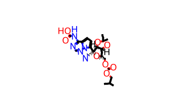 CC(C)COC(=O)OC[C@H]1O[C@@](C#N)(c2ccc3c(NC(=O)O)ncnn23)[C@@H]2OC(C)(C)O[C@@H]21